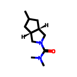 CC1C[C@@H]2CN(C(=O)N(C)C)C[C@@H]2C1